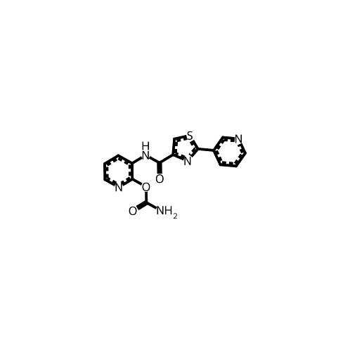 NC(=O)Oc1ncccc1NC(=O)c1csc(-c2cccnc2)n1